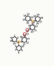 c1ccc(P(c2ccccc2)c2cccc(OCOc3cccc(P(c4ccccc4)c4ccccc4)c3)c2)cc1